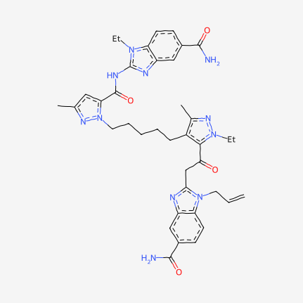 C=CCn1c(CC(=O)c2c(CCCCCn3nc(C)cc3C(=O)Nc3nc4cc(C(N)=O)ccc4n3CC)c(C)nn2CC)nc2cc(C(N)=O)ccc21